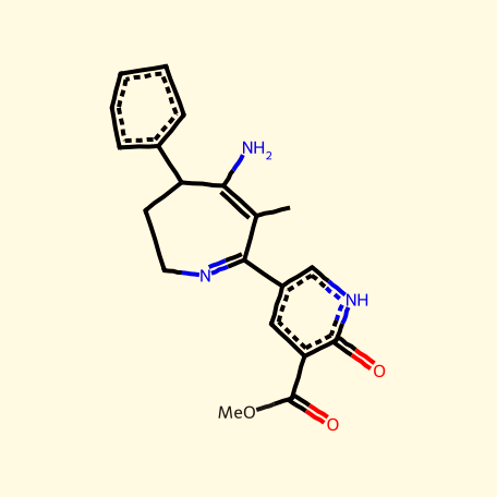 COC(=O)c1cc(C2=NCCC(c3ccccc3)C(N)=C2C)c[nH]c1=O